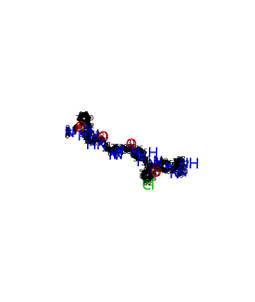 CN(C)CCOc1ccccc1Cn1cnc2ccc(C(=O)NCCc3cn(CCC(=O)N4CCN(CC[C@H](NC(=O)C5(N)CCN(c6ncnc7[nH]ccc67)CC5)c5ccc(Cl)cc5)CC4)nn3)nc21